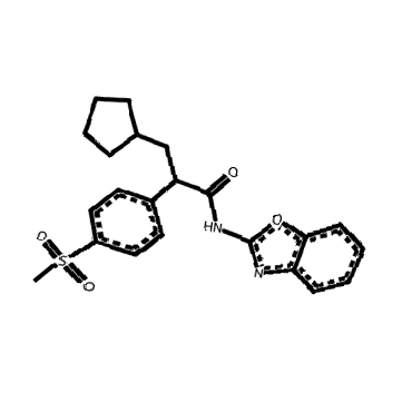 CS(=O)(=O)c1ccc(C(CC2CCCC2)C(=O)Nc2nc3ccccc3o2)cc1